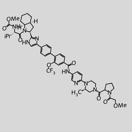 COCC(=O)N1CCCC1C(=O)N1CCN(c2ccc(NC(=O)c3ccc(-c4ccc(-c5c[nH]c([C@@H]6C[C@@H]7CCCC[C@@H]7N6C(=O)[C@@H](NC(=O)OC)C(C)C)n5)cc4)c(OC(F)(F)F)c3)cn2)[C@H](C)C1